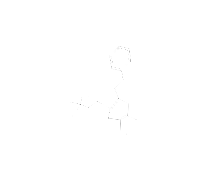 CC1=C(C)CC(CCC(C)(C)O)=C(CCc2ccccc2)C1